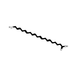 CCC=CCC=CCC=CCC=CCC=CCCCCC(=O)O